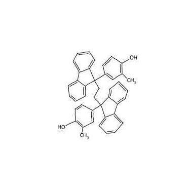 Cc1cc(C2(CCC3(c4ccc(O)c(C)c4)c4ccccc4-c4ccccc43)c3ccccc3-c3ccccc32)ccc1O